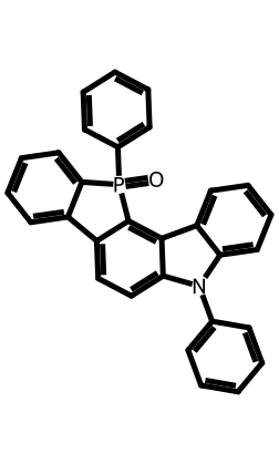 O=P1(c2ccccc2)c2ccccc2-c2ccc3c(c21)c1ccccc1n3-c1ccccc1